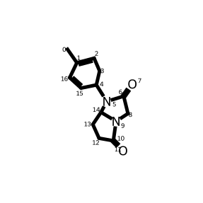 CC1=CCC(N2C(=O)CN3C(=O)CCC32)C=C1